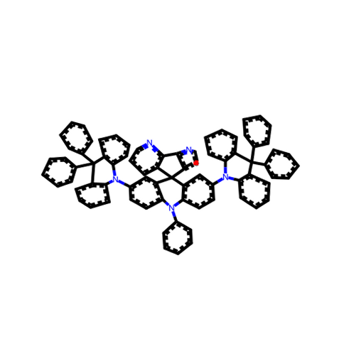 c1ccc(N2c3ccc(N4c5ccccc5C(c5ccccc5)(c5ccccc5)c5ccccc54)cc3C3(c4cc(N5c6ccccc6C(c6ccccc6)(c6ccccc6)c6ccccc65)ccc42)c2cccnc2-c2ncccc23)cc1